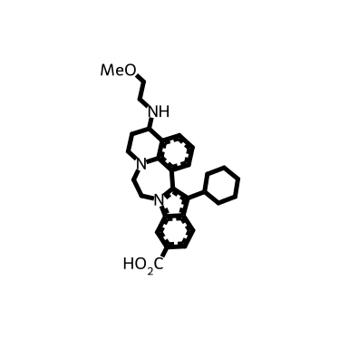 COCCNC1CCN2CCn3c(c(C4CCCCC4)c4ccc(C(=O)O)cc43)-c3cccc1c32